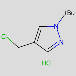 CC(C)(C)n1cc(CCl)cn1.Cl